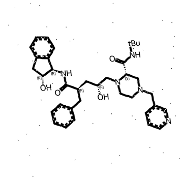 CC(C)(C)NC(=O)[C@@H]1CN(Cc2cccnc2)CCN1C[C@H](O)C[C@@H](Cc1ccccc1)C(=O)N[C@@H]1c2ccccc2C[C@H]1O